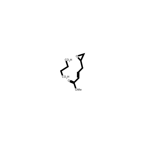 COC(=O)C=CCC1CO1.O=C(O)CCC(=O)O